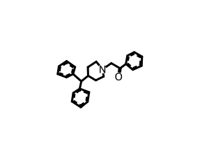 O=C(CN1CCC(C(c2ccccc2)c2ccccc2)CC1)c1ccccc1